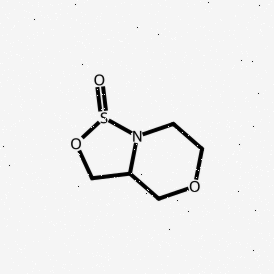 O=S1OCC2COCCN21